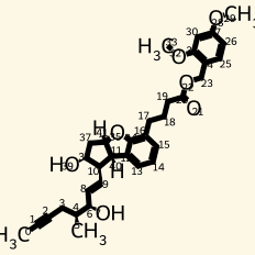 CC#CC[C@H](C)[C@H](O)/C=C/[C@@H]1[C@H]2c3cccc(CCCC(=O)OCc4ccc(OC)cc4OC)c3O[C@H]2C[C@H]1O